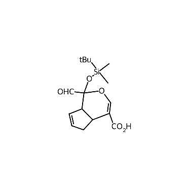 CC(C)(C)[Si](C)(C)OC1(C=O)OC=C(C(=O)O)C2CC=CC21